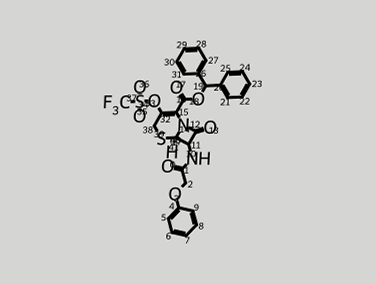 O=C(COc1ccccc1)NC1C(=O)N2C(C(=O)OC(c3ccccc3)c3ccccc3)=C(OS(=O)(=O)C(F)(F)F)CS[C@H]12